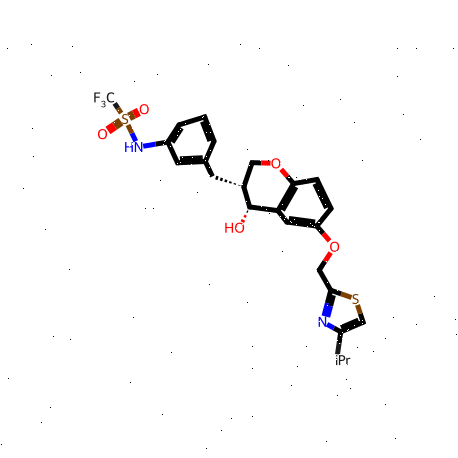 CC(C)c1csc(COc2ccc3c(c2)[C@H](O)[C@H](Cc2cccc(NS(=O)(=O)C(F)(F)F)c2)CO3)n1